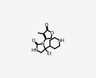 CCC1(C2CCNCC2)CNC(=O)N1C1=C(C)C(=O)OC1